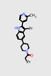 Cc1cc(-c2[nH]c3ccc(C4CCN(C(=O)CC(C)C)CC4)cc3c2C(C)C)ccn1